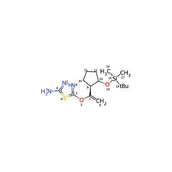 C=C(Oc1nnc(N)s1)[C@H]1CCCC1O[Si](C)(C)C(C)(C)C